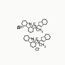 C[Si](C)(C1=Cc2ccccc2C1)c1cccc2c1Cc1ccccc1-2.C[Si](C)(C1=Cc2ccccc2C1)c1cccc2c1Cc1ccccc1-2.[Cl-].[Cl-].[Zr+2]